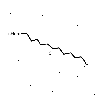 CCCCCCCCCCCCCCCCCCCl.[Cr]